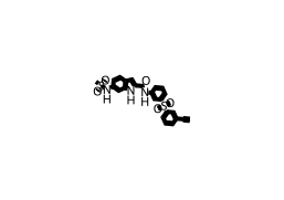 C#Cc1cccc(S(=O)(=O)c2cccc(NC(=O)c3cc4ccc(NS(C)(=O)=O)cc4[nH]3)c2)c1